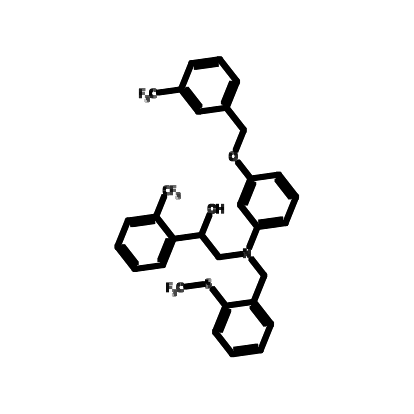 OC(CN(Cc1ccccc1SC(F)(F)F)c1cccc(OCc2cccc(C(F)(F)F)c2)c1)c1ccccc1C(F)(F)F